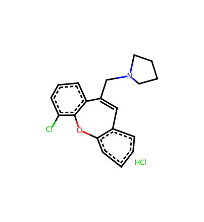 Cl.Clc1cccc2c1Oc1ccccc1C=C2CN1CCCC1